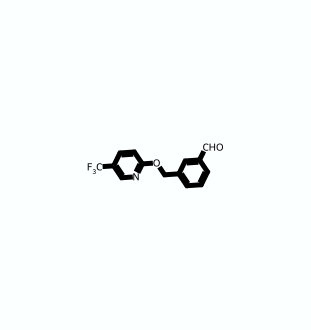 O=Cc1cccc(COc2ccc(C(F)(F)F)cn2)c1